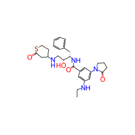 CCNc1cc(C(=O)N[C@@H](Cc2ccccc2)[C@H](O)CNC2CCSC(=O)C2)cc(N2CCCC2=O)c1